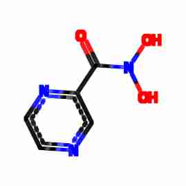 O=C(c1cnccn1)N(O)O